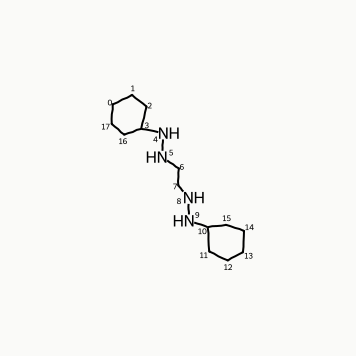 C1CCC(NNCCNNC2CCCCC2)CC1